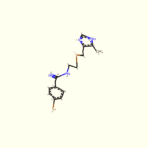 Cc1[nH]cnc1CSCCNC(=N)c1ccc(S)cc1